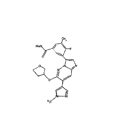 CNC(=O)c1cc(C)c(F)c(-c2cnc3cc(-c4cnn(C)c4)c(OC4CCOC4)nn23)c1